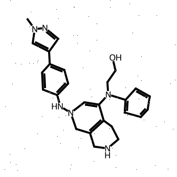 Cn1cc(-c2ccc(NN3C=C(N(CCO)c4ccccc4)C4=C(CNCC4)C3)cc2)cn1